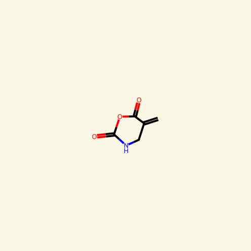 C=C1CNC(=O)OC1=O